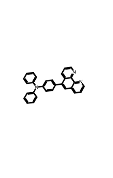 c1ccc(N(c2ccccc2)c2ccc(-c3cc4cccnc4c4ncccc34)cc2)cc1